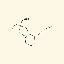 C1CCCCC1.CCC(CC)(CO)CO.CO.CO